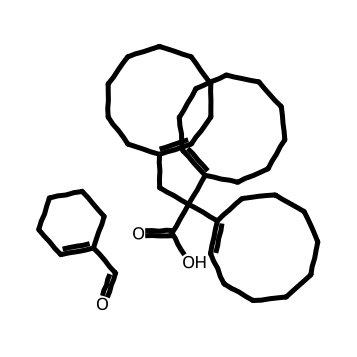 O=C(O)C(C/C1=C/CCCCCCCC1)(/C1=C/CCCCCCCC1)/C1=C/CCCCCCCC1.O=CC1=CCCCC1